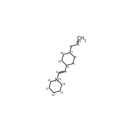 C=CCC1CCC(C=CN2CCCCC2)CC1